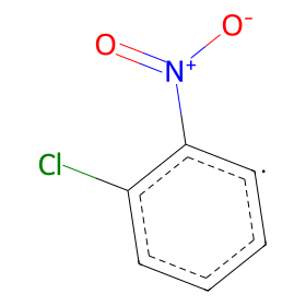 O=[N+]([O-])c1[c]cccc1Cl